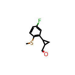 CSc1ccc(F)cc1C1CC1C=O